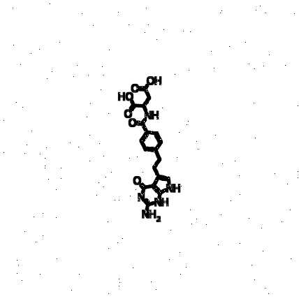 Nc1nc(=O)c2c(CCc3ccc(C(=O)NC(CC(=O)O)C(=O)O)cc3)c[nH]c2[nH]1